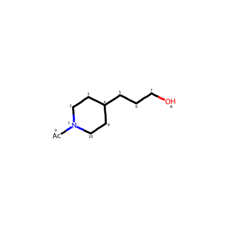 CC(=O)N1CCC(CCCO)CC1